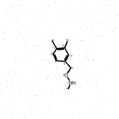 CNOCc1ccc(C)c(C)c1